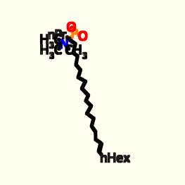 CCCCCCC=CCCCCCCCCCCCCCCCCC(CCC)(P(=O)=O)[N+](C)(C)C